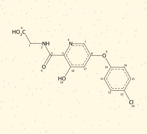 O=C(O)CNC(=O)c1ncc(Oc2ccc(Cl)cc2)cc1O